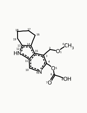 COCc1c(OC(=O)O)ncc2[nH]c3c(c12)CCCC3